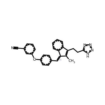 CC1=C(CCc2nnn[nH]2)c2ccccc2/C1=C\c1ccc(Oc2cccc(C#N)c2)cc1